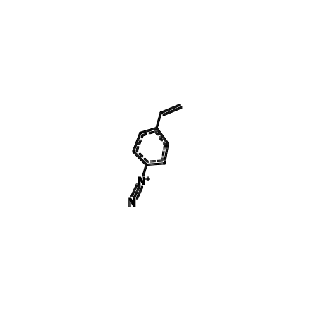 C=Cc1ccc([N+]#N)cc1